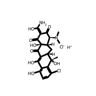 CN(C)[C@@H]1C(=O)/C(=C(\N)O)C(=O)[C@@]2(O)C(=O)C3=C(O)c4c(O)ccc(Cl)c4[C@@](C)(O)[C@H]3C[C@@H]12.[Cl-].[H+]